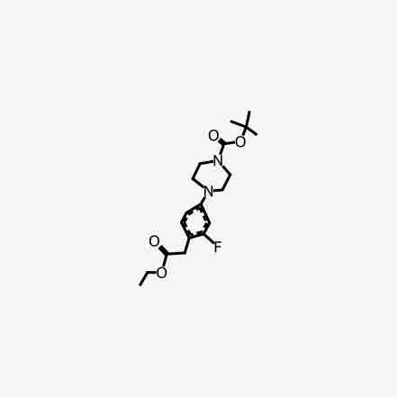 CCOC(=O)Cc1ccc(N2CCN(C(=O)OC(C)(C)C)CC2)cc1F